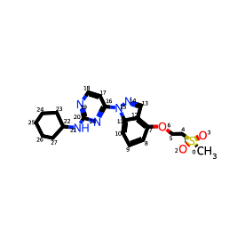 CS(=O)(=O)CCOc1cccc2c1cnn2-c1ccnc(NC2CCCCC2)n1